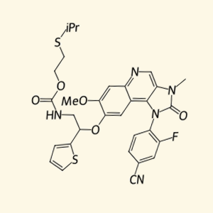 COc1cc2ncc3c(c2cc1OC(CNC(=O)OCCSC(C)C)c1cccs1)n(-c1ccc(C#N)cc1F)c(=O)n3C